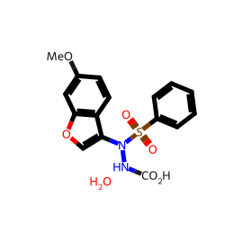 COc1ccc2c(N(NC(=O)O)S(=O)(=O)c3ccccc3)coc2c1.O